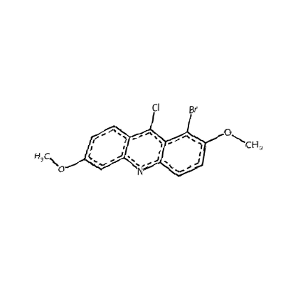 COc1ccc2c(Cl)c3c(Br)c(OC)ccc3nc2c1